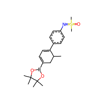 CC1CC(B2OC(C)(C)C(C)(C)O2)=CC=C1c1ccc(N=S(C)(C)=O)cc1